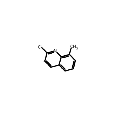 Cc1cccc2c[c]c(Cl)nc12